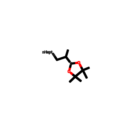 CCCCCCCCC(C)B1OC(C)(C)C(C)(C)O1